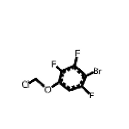 Fc1cc(OCCl)c(F)c(F)c1Br